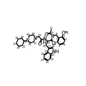 COc1ccccc1CN(C(C)=O)C(=O)C(Cc1c[nH]c2ccccc12)NC(=O)CN1CCN(C2CCCCC2)CC1